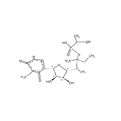 CCC(C)(OP(=O)(O)C(C)O)C(C)[C@H]1O[C@@H](c2c[nH]c(=O)n(C)c2=O)[C@H](O)[C@@H]1O